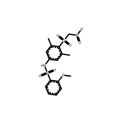 COc1ccccc1S(=O)(=O)Nc1cc(C)c(S(=O)(=O)C[N+](=O)[O-])c(C)c1